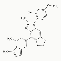 CCCN(Cc1ccc(C)s1)c1c2c(nc3c(-c4ccc(OC)cc4Cl)c(C)nn13)CCC2